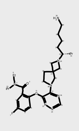 CCN(C(=O)c1cc(F)ccc1Oc1nncnc1N1CCC2(C1)CN([C@H](CCCCN)C(C)C)C2)C(C)C